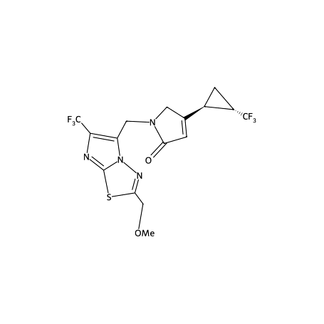 COCc1nn2c(CN3CC([C@H]4C[C@@H]4C(F)(F)F)=CC3=O)c(C(F)(F)F)nc2s1